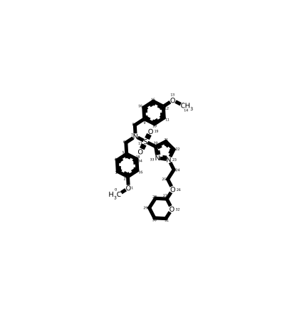 COc1ccc(CN(Cc2ccc(OC)cc2)S(=O)(=O)c2ccn(CCOC3CCCCO3)n2)cc1